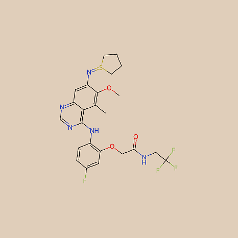 COc1c(N=S2CCCC2)cc2ncnc(Nc3ccc(F)cc3OCC(=O)NCC(F)(F)F)c2c1C